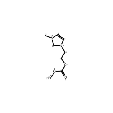 CCCOC(=O)OCCN1C=CN(C)C1